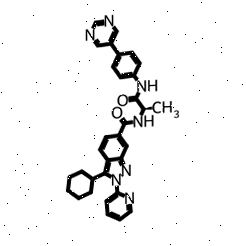 C[C@@H](NC(=O)c1ccc2c(C3CCCCC3)n(-c3ccccn3)nc2c1)C(=O)Nc1ccc(-c2cncnc2)cc1